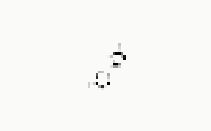 [2H][C@H]1CCN(c2nc(C(F)(F)F)cs2)C1